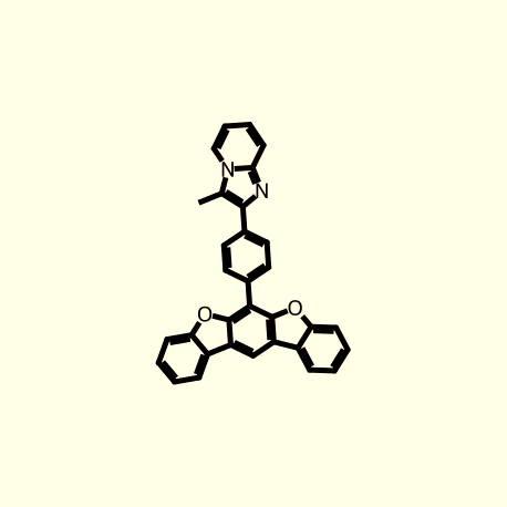 Cc1c(-c2ccc(-c3c4oc5ccccc5c4cc4c3oc3ccccc34)cc2)nc2ccccn12